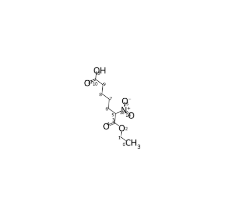 CCOC(=O)C(CCCCC(=O)O)[N+](=O)[O-]